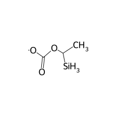 CC([SiH3])OC([O])=O